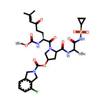 CCCCC(NC(=O)C1CC(OC(=O)N2Cc3cccc(F)c3C2)CN1C(=O)[C@H](CCC(=O)C=C(C)C)NC(=O)OC(C)(C)C)C(=O)NS(=O)(=O)C1CC1